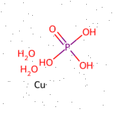 O.O.O=P(O)(O)O.[Cu]